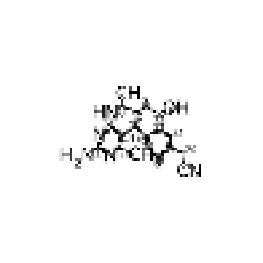 Cc1nc(N)nc(NC(C)CCCO)c1Cc1ccc(CC#N)cc1